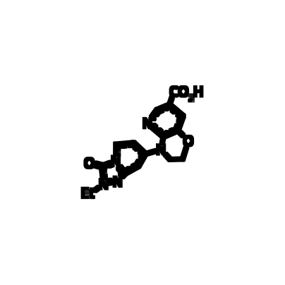 CCn1nc2cc(N3CCOc4cc(C(=O)O)cnc43)ccn2c1=O